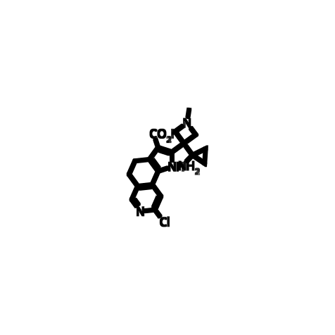 CN1CC(c2[nH]c3c(c2C(=O)O)CCc2cnc(Cl)cc2-3)(C2(N)CC2)C1